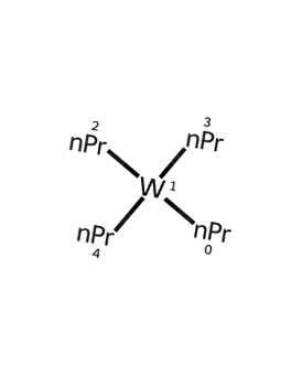 CC[CH2][W]([CH2]CC)([CH2]CC)[CH2]CC